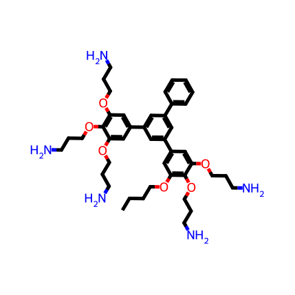 CCCCOc1cc(-c2cc(-c3ccccc3)cc(-c3cc(OCCCN)c(OCCCN)c(OCCCN)c3)c2)cc(OCCCN)c1OCCCN